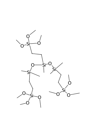 CO[Si](CC[Si](C)(C)O[Si](C)(CC[Si](OC)(OC)OC)O[Si](C)(C)CC[Si](OC)(OC)OC)(OC)OC